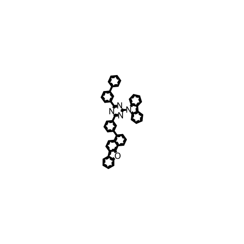 c1ccc(-c2cccc(-c3nc(-c4cccc(-c5cccc6c5ccc5c7ccccc7oc65)c4)nc(-n4c5ccccc5c5ccccc54)n3)c2)cc1